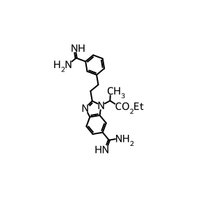 CCOC(=O)C(C)n1c(CCc2cccc(C(=N)N)c2)nc2ccc(C(=N)N)cc21